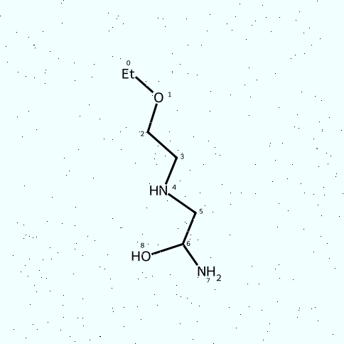 CCOCCNCC(N)O